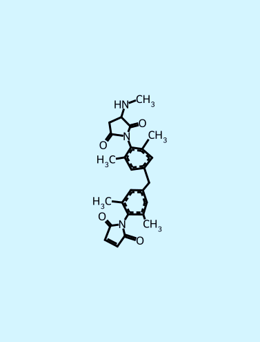 CNC1CC(=O)N(c2c(C)cc(Cc3cc(C)c(N4C(=O)C=CC4=O)c(C)c3)cc2C)C1=O